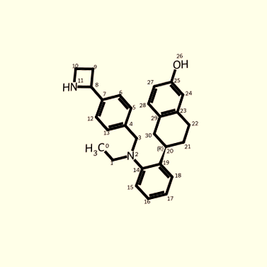 CCN(Cc1ccc(C2CCN2)cc1)c1ccccc1[C@@H]1CCc2cc(O)ccc2C1